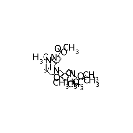 CNc1nc(C(=O)OC)ccc1C1CC2(CCN1Cc1c(OC)cc(C)c3c1ccn3C(=O)OC(C)(C)C)CC2